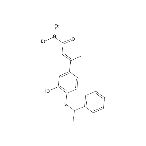 CCN(CC)C(=O)C=C(C)c1ccc(SC(C)c2ccccc2)c(O)c1